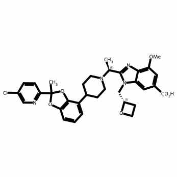 COc1cc(C(=O)O)cc2c1nc([C@H](C)N1CCC(c3cccc4c3OC(C)(c3ccc(Cl)cn3)O4)CC1)n2C[C@@H]1CCO1